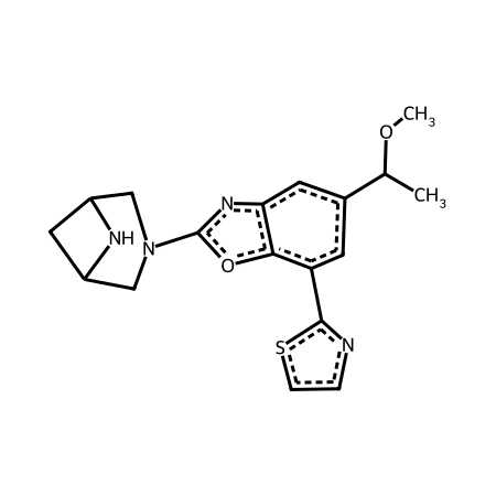 COC(C)c1cc(-c2nccs2)c2oc(N3CC4CC(C3)N4)nc2c1